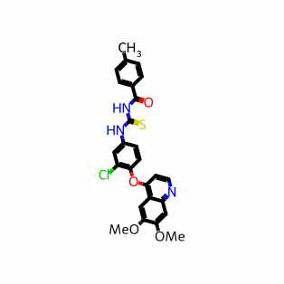 COc1cc2nccc(Oc3ccc(NC(=S)NC(=O)c4ccc(C)cc4)cc3Cl)c2cc1OC